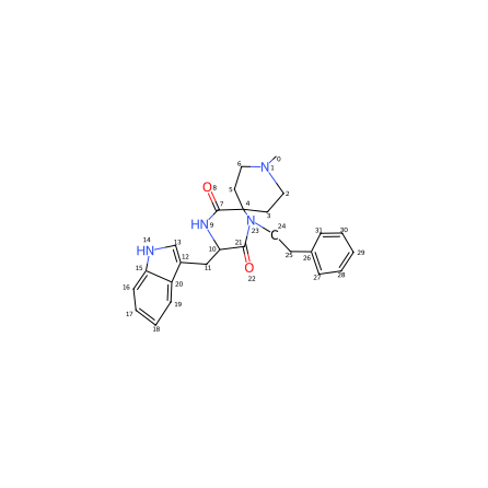 CN1CCC2(CC1)C(=O)NC(Cc1c[nH]c3ccccc13)C(=O)N2CCc1ccccc1